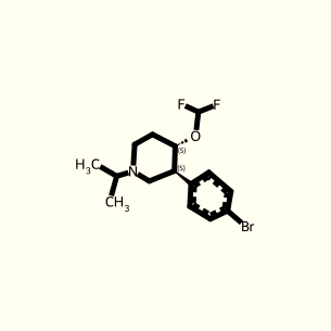 CC(C)N1CC[C@H](OC(F)F)[C@@H](c2ccc(Br)cc2)C1